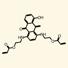 C=CC(=O)OCCNc1ccc(NCCOC(=O)C=C)c2c1C(=C)c1c(O)cccc1C2=O